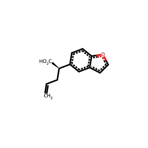 C=CC[C@@H](C(=O)O)c1ccc2occc2c1